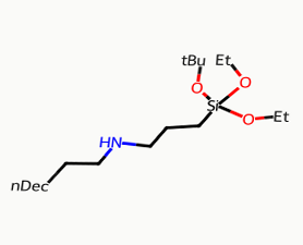 CCCCCCCCCCCCNCCC[Si](OCC)(OCC)OC(C)(C)C